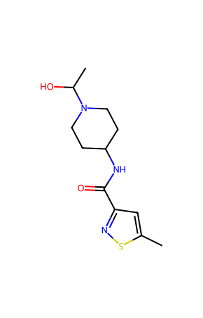 Cc1cc(C(=O)NC2CCN(C(C)O)CC2)ns1